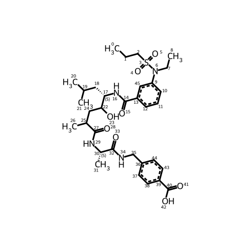 CCCS(=O)(=O)N(CC)c1cccc(C(=O)N[C@@H](CC(C)C)C(O)CC(C)C(=O)N[C@@H](C)C(=O)NCc2ccc(C(=O)O)cc2)c1